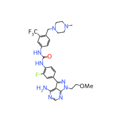 COCCn1nc(-c2ccc(NC(=O)Nc3ccc(CN4CCN(C)CC4)c(C(F)(F)F)c3)c(F)c2)c2c(N)ncnc21